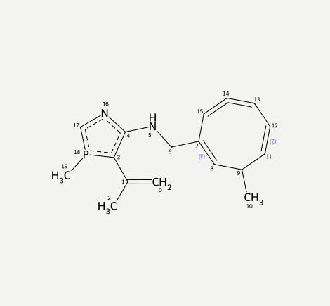 C=C(C)c1c(NC/C2=C/C(C)/C=C\C=C=C2)ncp1C